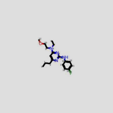 CCCc1cc(N(CC)CCOC)nc(Nc2ccc(F)cc2)n1